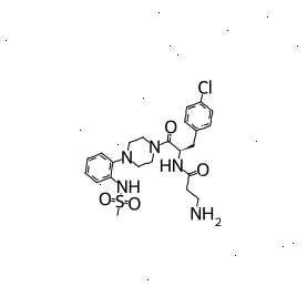 CS(=O)(=O)Nc1ccccc1N1CCN(C(=O)[C@@H](Cc2ccc(Cl)cc2)NC(=O)CCN)CC1